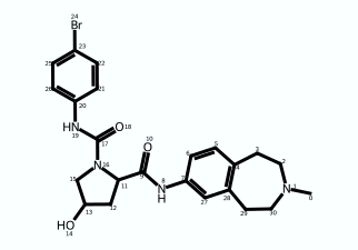 CN1CCc2ccc(NC(=O)C3CC(O)CN3C(=O)Nc3ccc(Br)cc3)cc2CC1